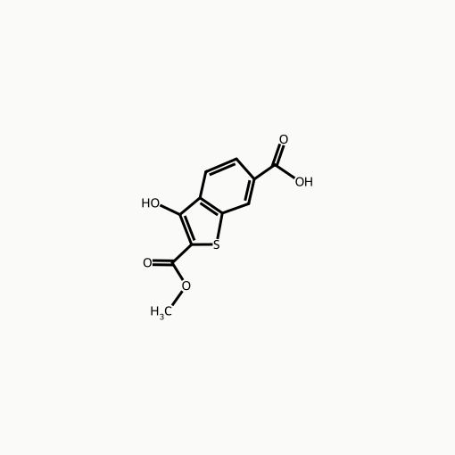 COC(=O)c1sc2cc(C(=O)O)ccc2c1O